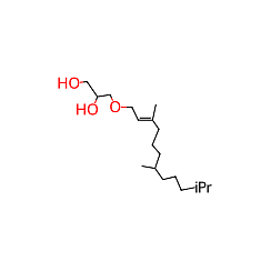 CC(=CCOCC(O)CO)CCCC(C)CCCC(C)C